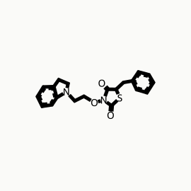 O=C1SC(Cc2ccccc2)C(=O)N1OCCN1CCc2ccccc21